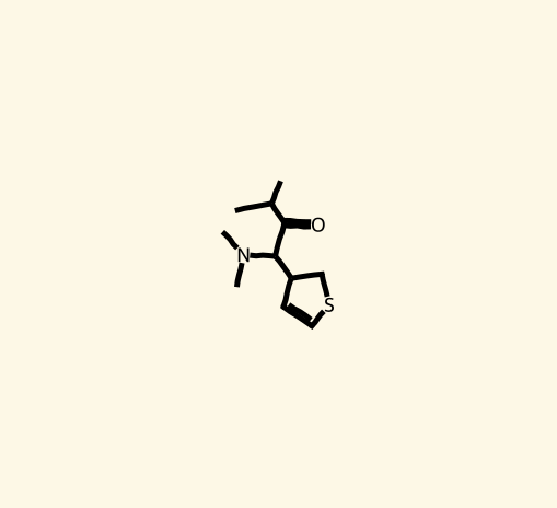 CC(C)C(=O)C(C1C=CSC1)N(C)C